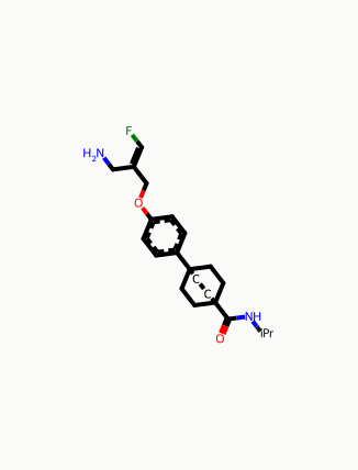 CC(C)NC(=O)C12CCC(c3ccc(OCC(=CF)CN)cc3)(CC1)CC2